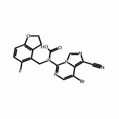 N#Cc1ncn2c(N(Cc3c(F)ccc4c3CCO4)C(=O)O)ncc(Br)c12